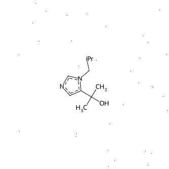 CC(C)Cn1cncc1C(C)(C)O